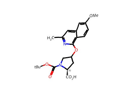 COc1ccc2c(OC3C[C@@H](C(=O)O)N(C(=O)OC(C)(C)C)C3)nc(C)cc2c1